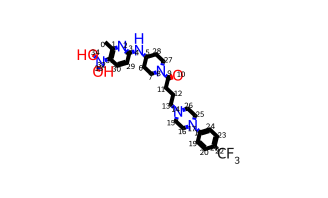 Cc1nc(NC2CCN(C(=O)CCCN3CCN(c4ccc(C(F)(F)F)cc4)CC3)CC2)ccc1N(O)O